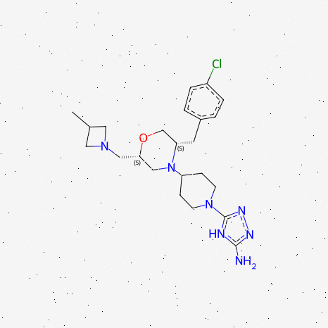 CC1CN(C[C@H]2CN(C3CCN(c4nnc(N)[nH]4)CC3)[C@@H](Cc3ccc(Cl)cc3)CO2)C1